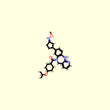 CON=C1CCC(c2ccc3c(c2)N(C(=O)C2CCC(OC(C)C)CC2)Cc2cccnc2N3)C1